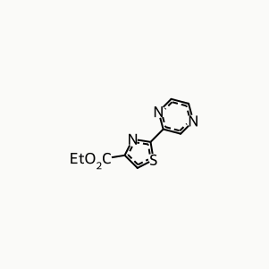 CCOC(=O)c1csc(-c2cnccn2)n1